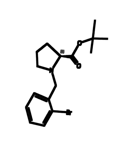 CC(C)(C)OC(=O)[C@@H]1CCCN1Cc1ccccc1Br